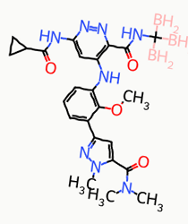 BC(B)(B)NC(=O)c1nnc(NC(=O)C2CC2)cc1Nc1cccc(-c2cc(C(=O)N(C)C)n(C)n2)c1OC